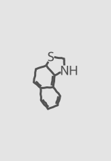 C1=c2ccccc2=C2NCSC2C1